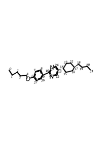 CCCCCOc1ccc(-c2ncc([C@H]3CC[C@H](CCCC)CC3)cn2)cc1